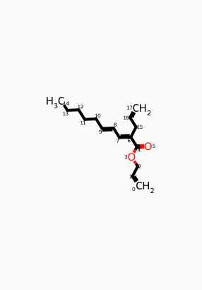 C=CCOC(=O)C(=CC=CCCCCC)CC=C